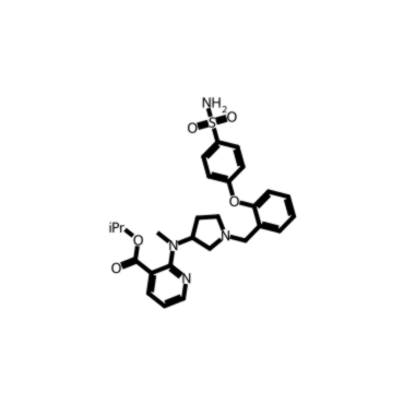 CC(C)OC(=O)c1cccnc1N(C)C1CCN(Cc2ccccc2Oc2ccc(S(N)(=O)=O)cc2)C1